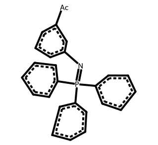 CC(=O)c1cccc(N=P(c2ccccc2)(c2ccccc2)c2ccccc2)c1